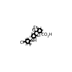 CCc1ccc(C(=O)O)cc1C(=O)c1ccc(Nc2ccc(Cl)cc2F)cc1Cl